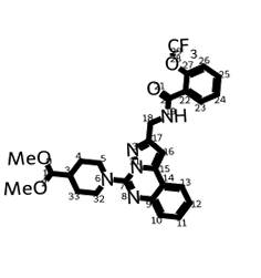 COC(OC)C1CCN(c2nc3ccccc3c3cc(CNC(=O)c4ccccc4OC(F)(F)F)nn23)CC1